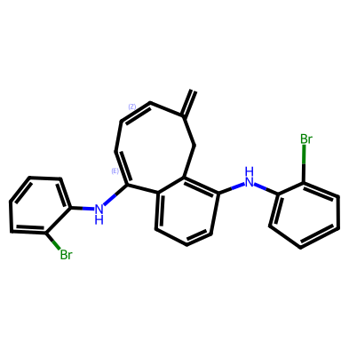 C=C1/C=C\C=C(\Nc2ccccc2Br)c2cccc(Nc3ccccc3Br)c2C1